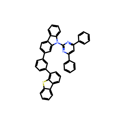 c1ccc(-c2cc(-c3ccccc3)nc(-n3c4ccccc4c4ccc(-c5cccc(-c6cccc7c6sc6ccccc67)c5)cc43)n2)cc1